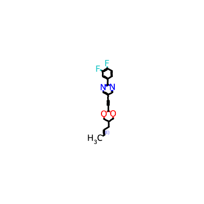 C/C=C/CC1COC(C#Cc2cnc(-c3ccc(F)c(F)c3)nc2)OC1